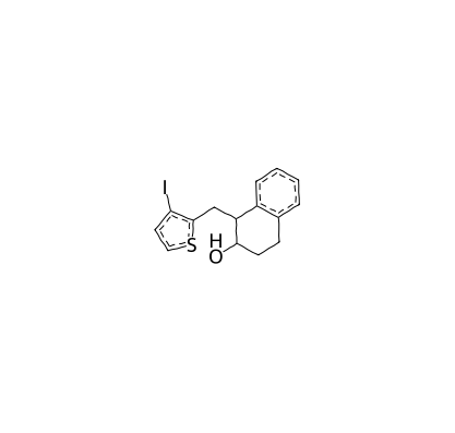 OC1CCc2ccccc2C1Cc1sccc1I